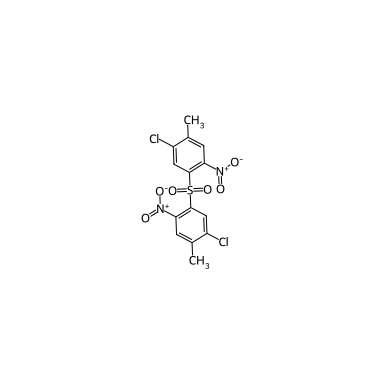 Cc1cc([N+](=O)[O-])c(S(=O)(=O)c2cc(Cl)c(C)cc2[N+](=O)[O-])cc1Cl